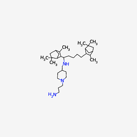 CC1C2CC(C1CCCCC(NCC1CCN(CCCN)CC1)C1C(C)C3CC1C(C)(C)C3)C(C)(C)C2